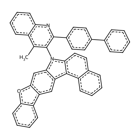 Cc1c(-n2c3cc4oc5ccccc5c4cc3c3c4ccccc4ccc32)c(-c2ccc(-c3ccccc3)cc2)nc2ccccc12